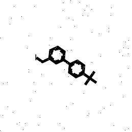 CC(C)(C)c1ccc(-c2cccc(CI)c2)cc1